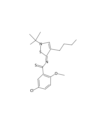 CCCCc1cn(C(C)(C)C)s/c1=N\C(=S)c1cc(Cl)ccc1OC